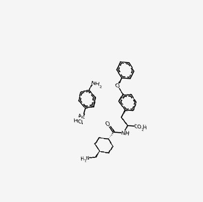 CC(=O)c1ccc(N)cc1.Cl.NC[C@H]1CC[C@H](C(=O)NC(Cc2cccc(Oc3ccccc3)c2)C(=O)O)CC1